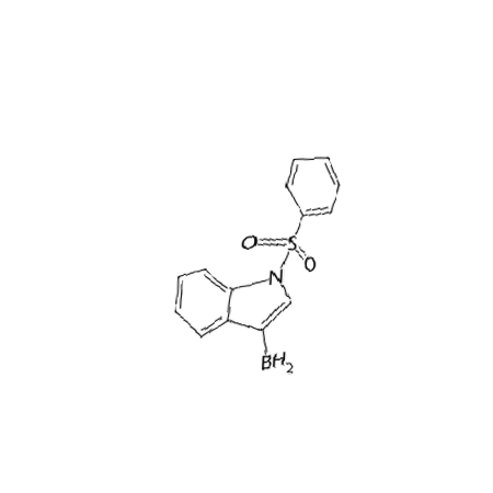 Bc1cn(S(=O)(=O)c2ccccc2)c2ccccc12